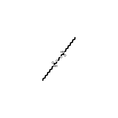 CCCCCCCCCCNC(=O)COCCOCC(=O)NCCCCCCCCCC